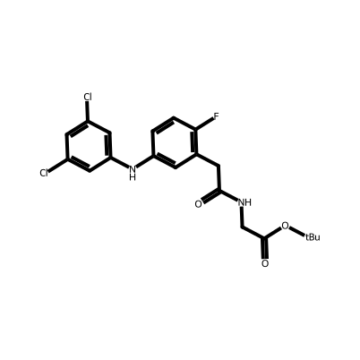 CC(C)(C)OC(=O)CNC(=O)Cc1cc(Nc2cc(Cl)cc(Cl)c2)ccc1F